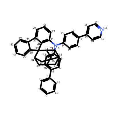 c1ccc(-c2ccc(N(c3ccc(-c4ccncc4)cc3)c3cccc4c3C3(c5ccccc5-4)C4CC5CC(C4)CC3C5)cc2)cc1